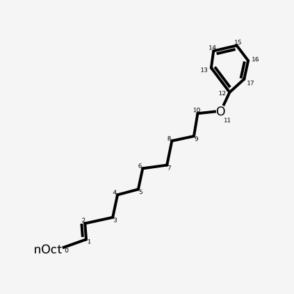 CCCCCCCCC=CCCCCCCCCOc1ccccc1